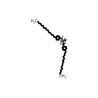 CCCCCCCCCCCCCCCc1ccc(C(F)O[PH](=O)OC(F)c2ccc(CCCCCCCCCCCCCCC)cc2)cc1